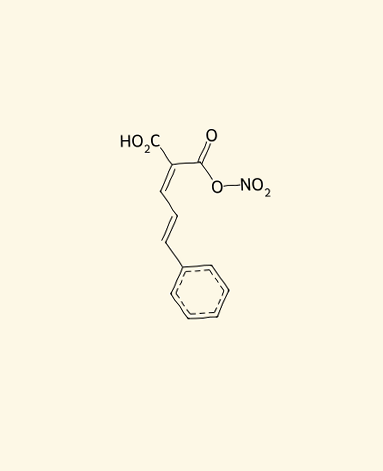 O=C(O)C(=CC=Cc1ccccc1)C(=O)O[N+](=O)[O-]